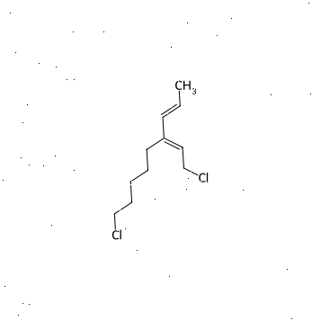 CC=CC(=CCCl)CCCCCCl